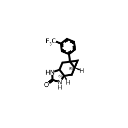 O=C1NC2CC3(c4cccc(C(F)(F)F)c4)C[C@@H]3C[C@@H]2N1